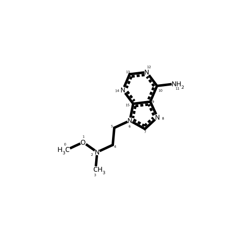 CON(C)CCn1cnc2c(N)ncnc21